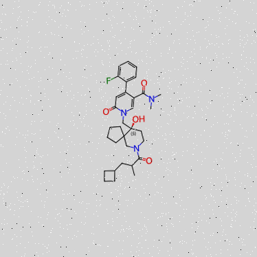 CC(CC1CCC1)C(=O)N1CC[C@@](O)(Cn2cc(C(=O)N(C)C)c(-c3ccccc3F)cc2=O)C2(CCCC2)C1